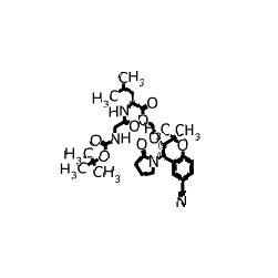 CC(C)C[C@H](NC(=O)CNC(=O)OC(C)(C)C)C(=O)OCO[C@H]1[C@H](N2CCCC2=O)c2cc(C#N)ccc2OC1(C)C